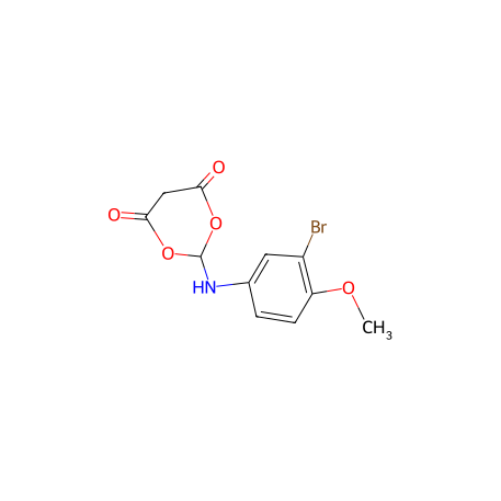 COc1ccc(NC2OC(=O)CC(=O)O2)cc1Br